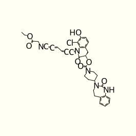 CCOC(=O)CN=C=C=CC=C=C=NC(=O)[C@@H](Cc1ccc(O)c(Cl)c1)OC(=O)N1CCC(N2CCc3ccccc3NC2=O)CC1